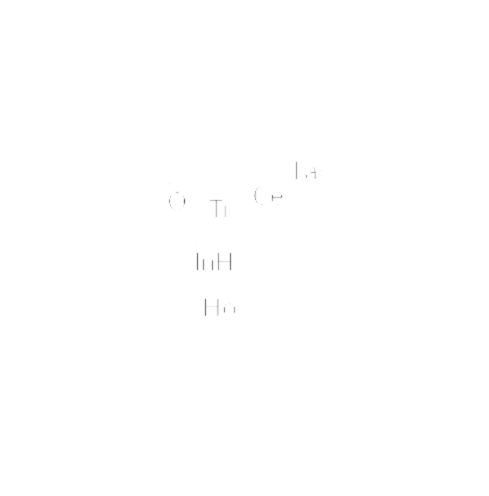 [Ce].[Ho].[O]=[InH].[Ta].[Ti]